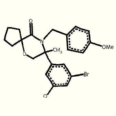 COc1ccc(CN2C(=O)C3(CCCC3)OCC2(C)c2cc(Cl)cc(Br)c2)cc1